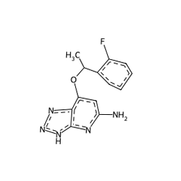 CC(Oc1cc(N)nc2[nH]nnc12)c1ccccc1F